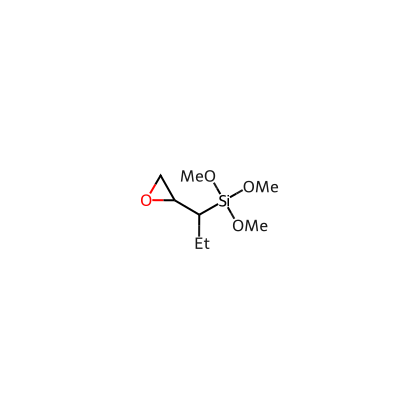 CCC(C1CO1)[Si](OC)(OC)OC